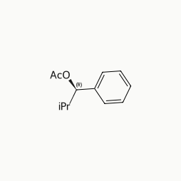 CC(=O)O[C@@H](c1ccccc1)C(C)C